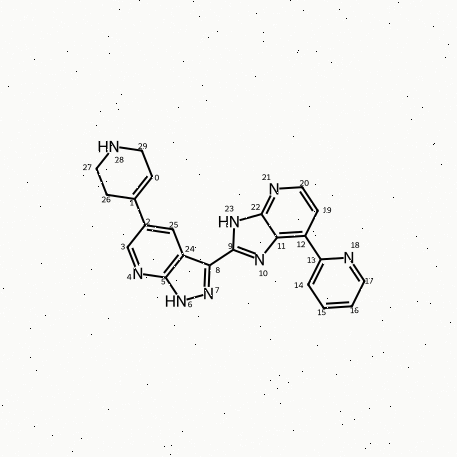 C1=C(c2cnc3[nH]nc(-c4nc5c(-c6ccccn6)ccnc5[nH]4)c3c2)CCNC1